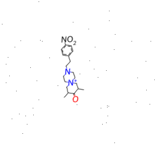 CC1C[N+]2(CCN(CCc3ccc([N+](=O)[O-])cc3)CC2)CC(C)C1=O